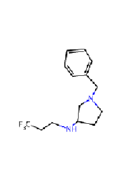 FC(F)(F)CCNC1CCN(Cc2ccccc2)C1